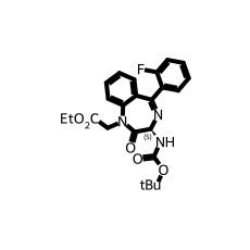 CCOC(=O)CN1C(=O)[C@@H](NC(=O)OC(C)(C)C)N=C(c2ccccc2F)c2ccccc21